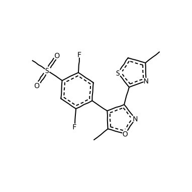 Cc1csc(-c2noc(C)c2-c2cc(F)c(S(C)(=O)=O)cc2F)n1